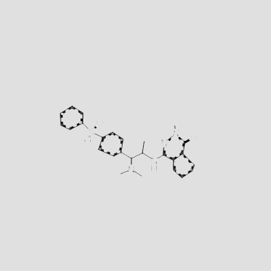 CC(Nc1nn(C)c(=O)c2ccccc12)C(c1ccc(S(=O)(=O)c2ccccc2)cc1)N(C)C